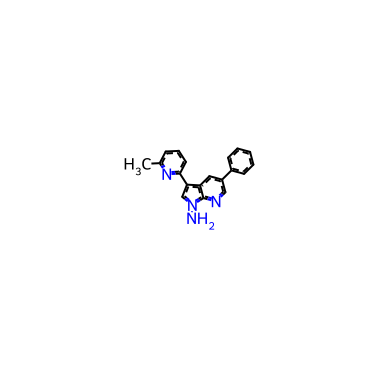 Cc1cccc(-c2cn(N)c3ncc(-c4ccccc4)cc23)n1